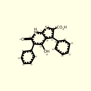 O=C(O)c1sc2[nH]c(=O)c(-c3ccccc3)c(O)c2c1-c1ccccc1